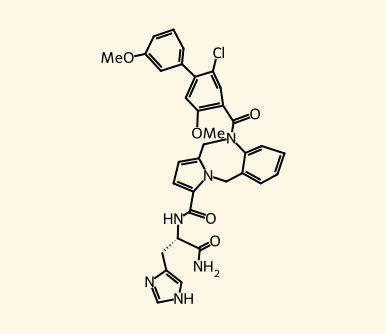 COc1cccc(-c2cc(OC)c(C(=O)N3Cc4ccc(C(=O)N[C@@H](Cc5c[nH]cn5)C(N)=O)n4Cc4ccccc43)cc2Cl)c1